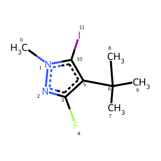 Cn1nc(F)c(C(C)(C)C)c1I